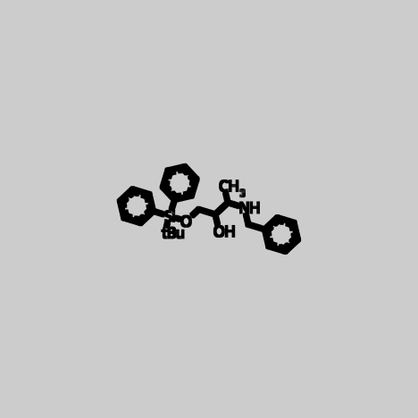 CC(NCc1ccccc1)C(O)CO[Si](c1ccccc1)(c1ccccc1)C(C)(C)C